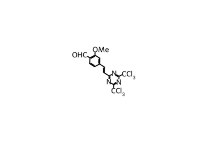 COc1cc(/C=C/c2nc(C(Cl)(Cl)Cl)nc(C(Cl)(Cl)Cl)n2)ccc1C=O